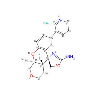 NC1=N[C@@]2(CO1)c1cc(-c3cccnc3F)ccc1O[C@@H]1COCC[C@H]12